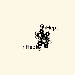 CCCCCCCC(=O)c1ccc(OC(=O)OCC(C)C)c(C(=O)c2ccccc2C(=O)OOC(=O)c2ccccc2C(=O)c2cc(C(=O)CCCCCCC)ccc2OC(=O)OCC(C)C)c1